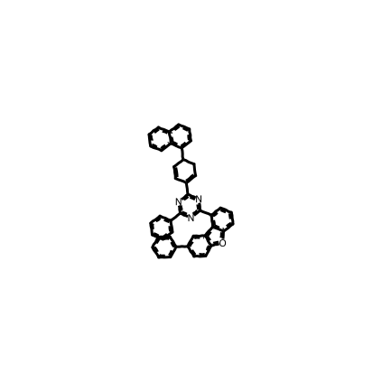 C1=CC(c2cccc3ccccc23)CC=C1c1nc(-c2ccccc2)nc(-c2cccc3oc4ccc(-c5ccccc5)cc4c23)n1